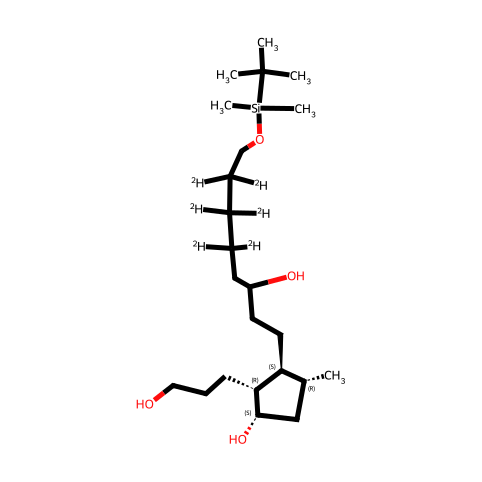 [2H]C([2H])(CO[Si](C)(C)C(C)(C)C)C([2H])([2H])C([2H])([2H])CC(O)CC[C@@H]1[C@@H](CCCO)[C@@H](O)C[C@H]1C